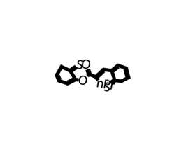 CCCC(=CC1=CC=CCC1=S)C(=O)OC1=CC=CCC1=S